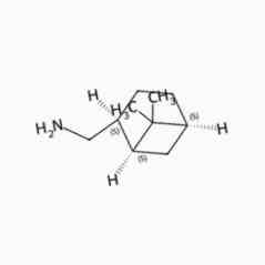 CC1(C)[C@H]2CC[C@H](CN)[C@@H]1C2